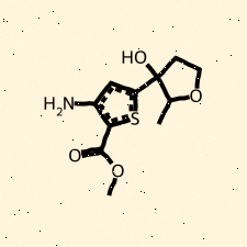 COC(=O)c1sc(C2(O)CCOC2C)cc1N